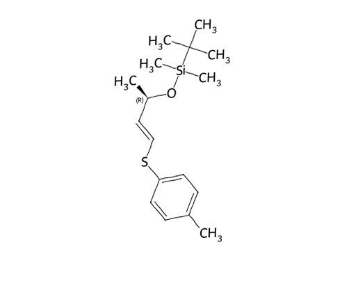 Cc1ccc(SC=C[C@@H](C)O[Si](C)(C)C(C)(C)C)cc1